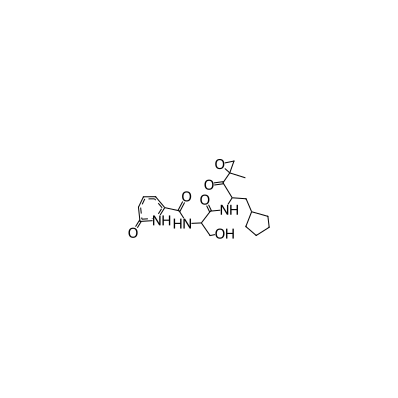 CC1(C(=O)C(CC2CCCC2)NC(=O)C(CO)NC(=O)c2cccc(=O)[nH]2)CO1